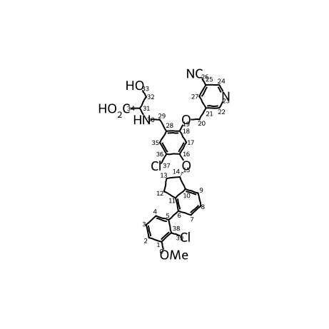 COc1cccc(-c2cccc3c2CC[C@@H]3Oc2cc(OCc3cncc(C#N)c3)c(CNC(CO)C(=O)O)cc2Cl)c1Cl